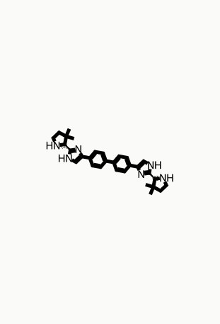 CC1(C)CCN[C@@H]1c1nc(-c2ccc(-c3ccc(-c4c[nH]c([C@H]5NCCC5(C)C)n4)cc3)cc2)c[nH]1